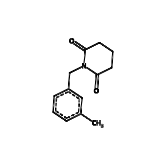 Cc1cccc(CN2C(=O)CCCC2=O)c1